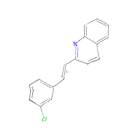 Clc1cccc(/C=C/c2ccc3ccccc3n2)c1